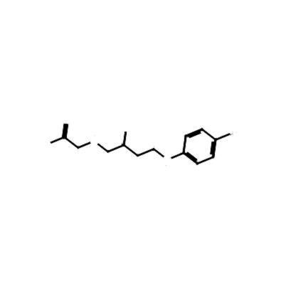 CC(C)C(=O)COCC(F)CCOc1ccc(C(C)C)cc1